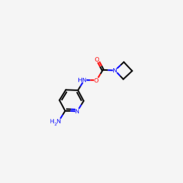 Nc1ccc(NOC(=O)N2CCC2)cn1